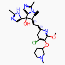 C#C/C(=C\C=C1/CC(Cl)=C(OC2CCCN(C)C2)C(OC)=N1)C(O)(c1cnc(C)[nH]1)c1cnc(C)n1C